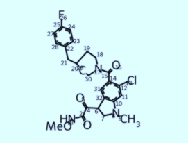 CONC(=O)C(=O)C1CN(C)c2cc(Cl)c(C(=O)N3CCC(Cc4ccc(F)cc4)CC3)cc21